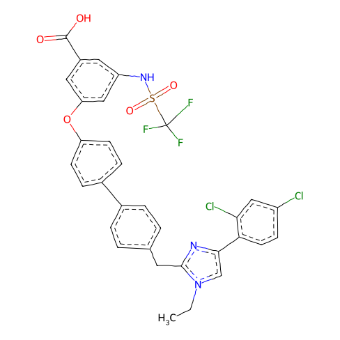 CCn1cc(-c2ccc(Cl)cc2Cl)nc1Cc1ccc(-c2ccc(Oc3cc(NS(=O)(=O)C(F)(F)F)cc(C(=O)O)c3)cc2)cc1